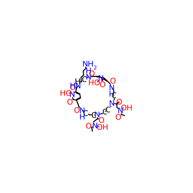 CC(=O)N(O)CC(=O)N1CCCCN(C(=O)CN(O)C(C)=O)CCCNC(=O)c2ccc(n(O)c2=O)C(=O)N[C@@H](CCCCN)CNC(=O)c2ccc(c(=O)n2O)C(=O)NCCC1